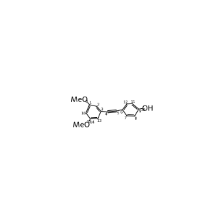 COc1cc(C#Cc2ccc(O)cc2)cc(OC)c1